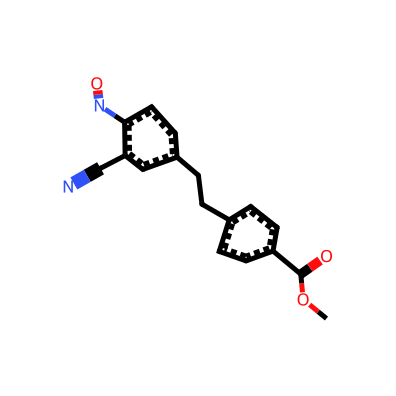 COC(=O)c1ccc(CCc2ccc(N=O)c(C#N)c2)cc1